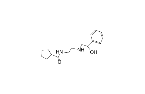 O=C(NCCNCC(O)c1ccccc1)C1CCCC1